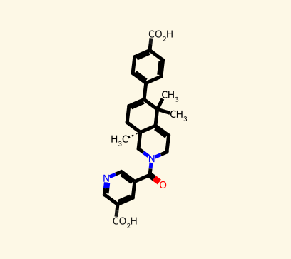 CC1(C)C(c2ccc(C(=O)O)cc2)=CC[C@]2(C)CN(C(=O)c3cncc(C(=O)O)c3)CC=C12